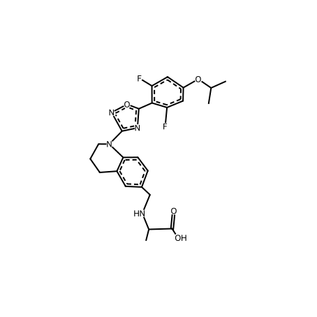 CC(C)Oc1cc(F)c(-c2nc(N3CCCc4cc(CNC(C)C(=O)O)ccc43)no2)c(F)c1